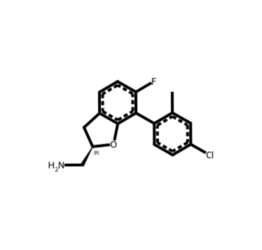 Cc1cc(Cl)ccc1-c1c(F)ccc2c1O[C@@H](CN)C2